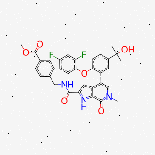 COC(=O)c1ccc(CNC(=O)c2cc3c(-c4cc(C(C)(C)O)ccc4Oc4ccc(F)cc4F)cn(C)c(=O)c3[nH]2)cc1